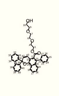 O=C(OCCOCCOCCO)c1c2c(c3ccccc3c1-c1ccccc1)OC(c1ccccc1)(c1ccccc1)C=C2